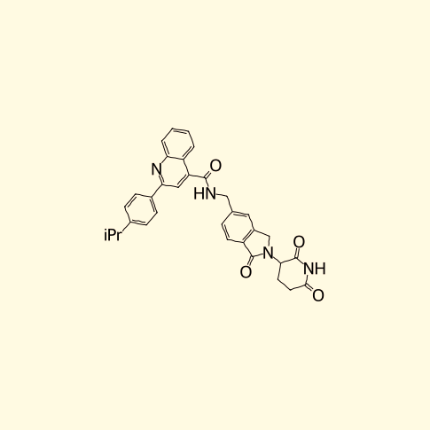 CC(C)c1ccc(-c2cc(C(=O)NCc3ccc4c(c3)CN(C3CCC(=O)NC3=O)C4=O)c3ccccc3n2)cc1